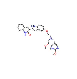 COCCN(CCOc1ccc2c(c1)CC(c1cc3ccccc3[nH]c1=O)N2)Cc1cnc(OC)nc1